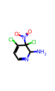 NC1N=CC=C(Cl)C1(Cl)[N+](=O)[O-]